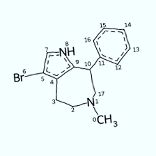 CN1CCc2c(Br)c[nH]c2C(c2ccccc2)C1